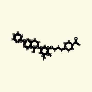 CC(=O)N1CCN(CCCOc2cc(N3CCc4nc(-c5ncccn5)ncc4C3C)cc(F)c2F)CC1